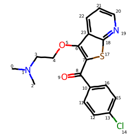 CN(C)CCOc1c(C(=O)c2ccc(Cl)cc2)sc2ncccc12